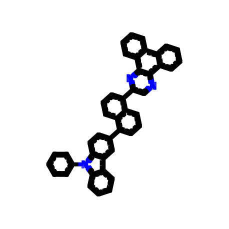 c1ccc(-n2c3ccccc3c3cc(-c4cccc5c(-c6cnc7c8ccccc8c8ccccc8c7n6)cccc45)ccc32)cc1